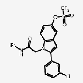 CC(C)NC(=O)Cn1c(-c2cccc(Cl)c2)cc2cc(OS(=O)(=O)C(F)(F)F)ccc21